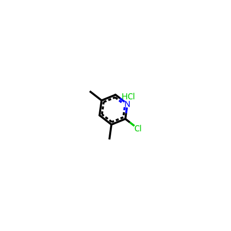 Cc1cnc(Cl)c(C)c1.Cl